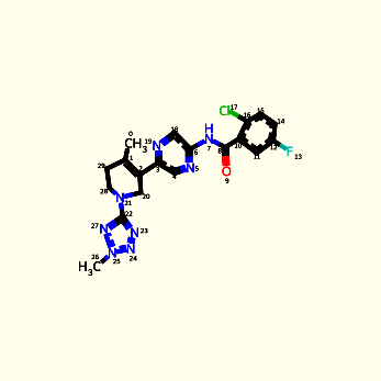 CC1=C(c2cnc(NC(=O)c3cc(F)ccc3Cl)cn2)CN(c2nnn(C)n2)CC1